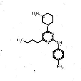 CCCCc1cc(N2CCC[C@@H](N)C2)nc(Nc2ccc(N)cc2)n1